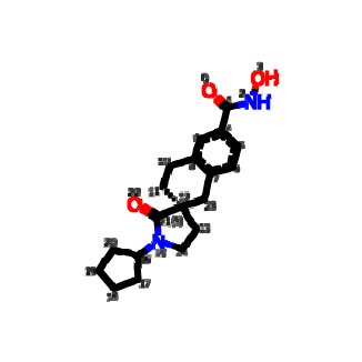 O=C(NO)c1ccc2c(c1)CC[C@@]1(CCN(C3CCCC3)C1=O)C2